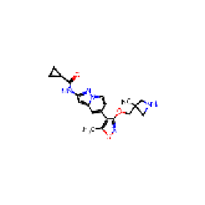 Cc1onc(OCC2(C#N)CNC2)c1-c1ccn2nc(NC(=O)C3CC3)cc2c1